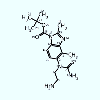 Cc1c(N(CCN)C(N)=S)ccc2c1nc(C)n2C(=O)OC(C)(C)C